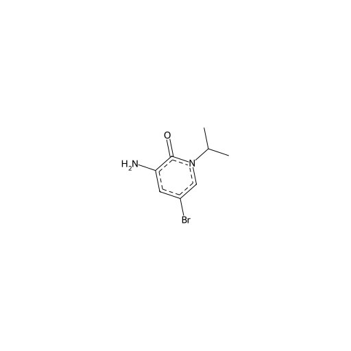 CC(C)n1cc(Br)cc(N)c1=O